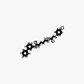 O=C(CSc1ccc(Cl)cc1)NCCCCCC(=O)Nc1cccc(-c2ccccc2)c1